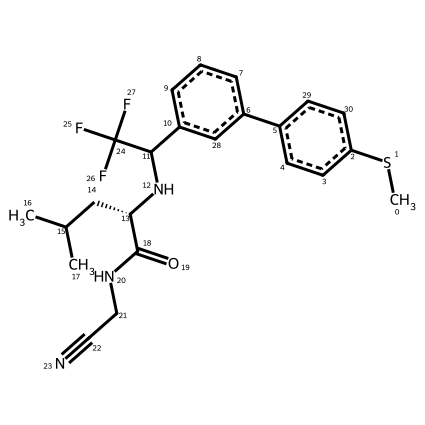 CSc1ccc(-c2cccc(C(N[C@@H](CC(C)C)C(=O)NCC#N)C(F)(F)F)c2)cc1